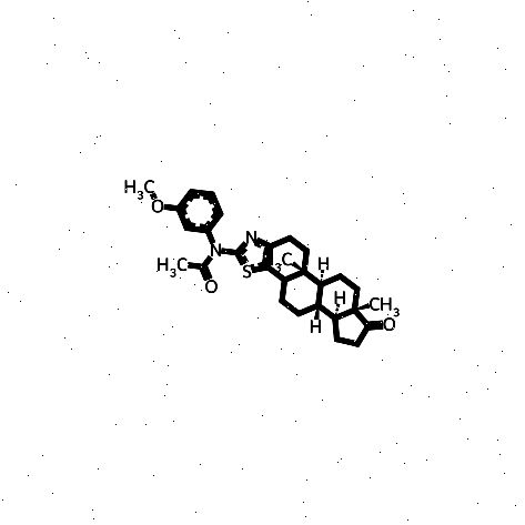 COc1cccc(N(C(C)=O)c2nc3c(s2)C2CC[C@@H]4[C@H](CC[C@]5(C)C(=O)CC[C@@H]45)[C@@]2(C)CC3)c1